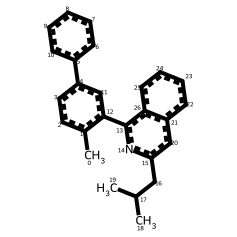 Cc1ccc(-c2ccccc2)cc1-c1nc(CC(C)C)cc2ccccc12